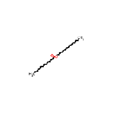 CCCCC=CCCCCCCCC(=O)OCCCCCCCCCCCCCCC